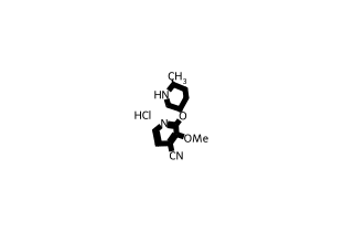 COc1c(C#N)ccnc1O[C@@H]1CC[C@@H](C)NC1.Cl